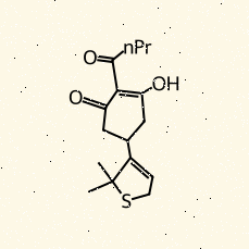 CCCC(=O)C1=C(O)CC(C2=CCSC2(C)C)CC1=O